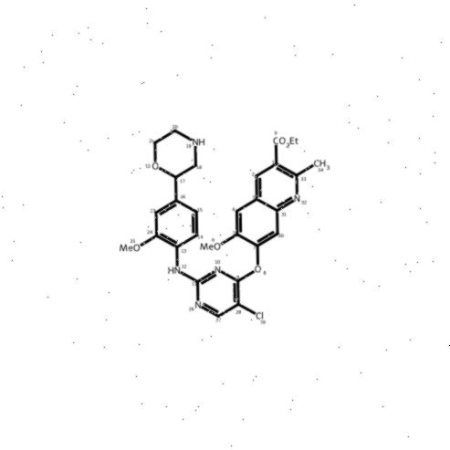 CCOC(=O)c1cc2cc(OC)c(Oc3nc(Nc4ccc(C5CNCCO5)cc4OC)ncc3Cl)cc2nc1C